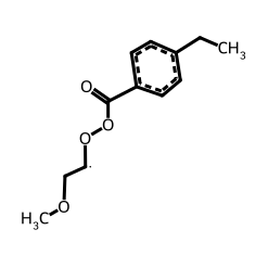 CCc1ccc(C(=O)OO[CH]COC)cc1